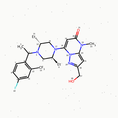 CC[C@H]1CN(C(C)c2ccc(F)cc2C(F)(F)F)[C@H](CC)CN1c1cc(=O)n(C)c2cc(CO)nn12